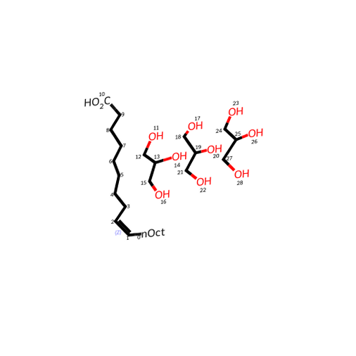 CCCCCCCC/C=C\CCCCCCCC(=O)O.OCC(O)CO.OCC(O)CO.OCC(O)CO